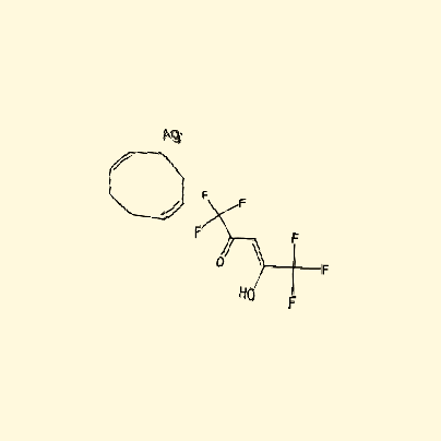 C1=C\CC/C=C\CC/1.O=C(/C=C(\O)C(F)(F)F)C(F)(F)F.[Ag]